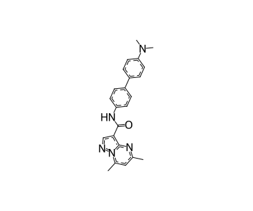 Cc1cc(C)n2ncc(C(=O)Nc3ccc(-c4ccc(N(C)C)cc4)cc3)c2n1